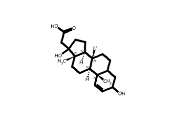 C[C@]12C=CC(O)CC1CC[C@@H]1[C@@H]2CC[C@@]2(C)[C@H]1CCC2(O)CC(=O)O